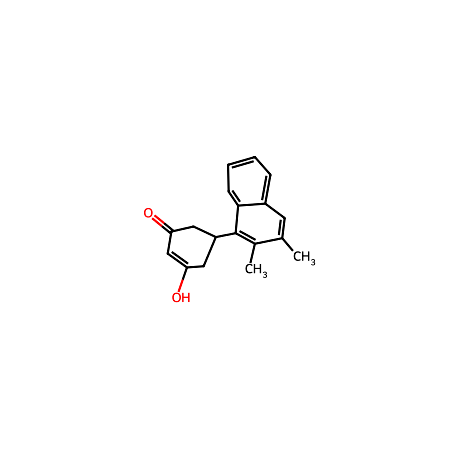 Cc1cc2ccccc2c(C2CC(=O)C=C(O)C2)c1C